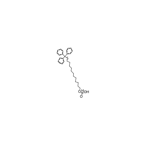 O=[PH](O)OCCCCCCCCCCCCSC(c1ccccc1)(c1ccccc1)c1ccccc1